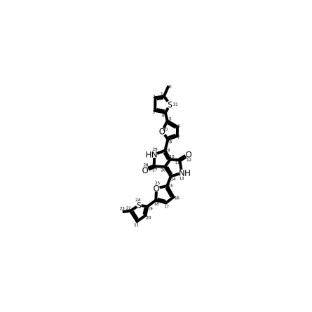 Cc1ccc(-c2ccc(C3=C4C(=O)NC(c5ccc(-c6ccc(C)s6)o5)=C4C(=O)N3)o2)s1